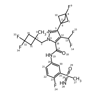 CC1(Cn2nc(C34CC(F)(C3)C4)c(C(F)F)c2C(=O)Nc2ccc(F)c(S(C)(=N)=O)c2)CC(F)(F)C1